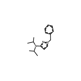 CC(C)N(c1ccn(Cc2ccccc2)n1)C(C)C